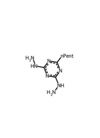 CCCCCc1nc(NN)nc(NN)n1